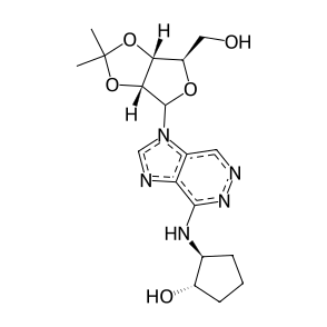 CC1(C)O[C@@H]2[C@@H](CO)OC(n3cnc4c(N[C@H]5CCC[C@@H]5O)nncc43)[C@@H]2O1